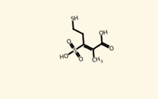 CC(C(=O)O)=C(CCS)S(=O)(=O)O